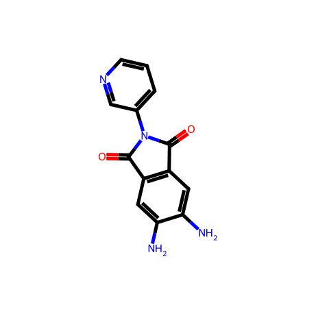 Nc1cc2c(cc1N)C(=O)N(c1cccnc1)C2=O